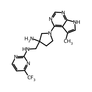 Cc1c[nH]c2ncnc(N3CCC(N)(CNc4nccc(C(F)(F)F)n4)C3)c12